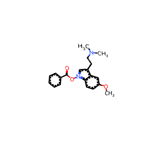 COc1ccc2c(c1)c(CCN(C)C)cn2OC(=O)c1ccccc1